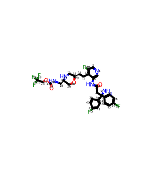 NC(CC(=O)Nc1cncc(F)c1CC[C@@H]1CN[C@H](CNC(=O)OCC(F)(F)F)CO1)(c1ccc(F)cc1)c1ccc(F)cc1